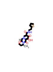 C[C@@H]1CCO[C@H]2Cn3cc(C(=O)NCCc4cccs4)c(=O)c(O)c3C(=O)N12